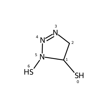 SC1CN=NN1S